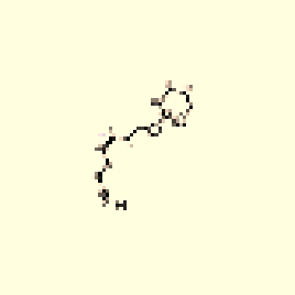 C#CCC/C=C\CCO[C@H]1CCCCO1